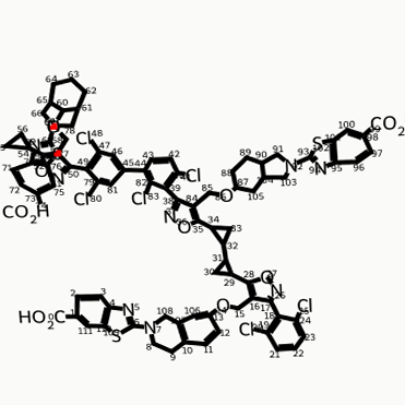 O=C(O)c1ccc2nc(N3CCc4ccc(OCc5c(-c6c(Cl)cccc6Cl)noc5C5CC5C5CC5c5onc(-c6c(Cl)ccc(-c7cc(Cl)c(-c8noc(C9CC9)c8COC8C9CCCC8CN(c8nc%10ccc(C(=O)O)cc%10s8)C9)c(Cl)c7)c6Cl)c5COC5CCC6CN(c7nc8ccc(C(=O)O)cc8s7)CC6C5)cc4C3)sc2c1